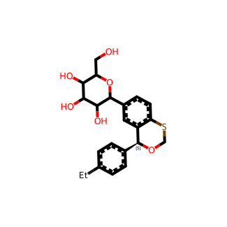 CCc1ccc([C@@H]2OCSc3ccc(C4OC(CO)C(O)C(O)C4O)cc32)cc1